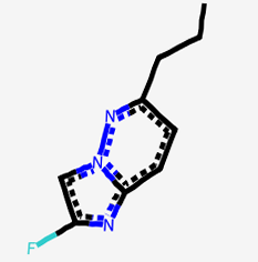 CCCc1ccc2nc(F)cn2n1